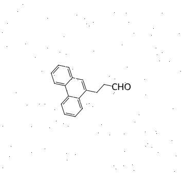 O=CCCc1cc2ccccc2c2ccccc12